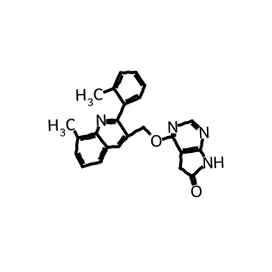 Cc1ccccc1-c1nc2c(C)cccc2cc1COc1ncnc2c1CC(=O)N2